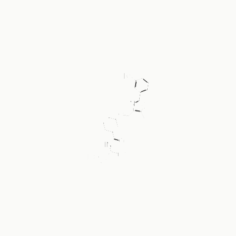 Cc1oc(-c2cccc(Br)c2)nc1COC1CCCC(C(=O)N[C@H](C(=O)O)C(C)C)C1